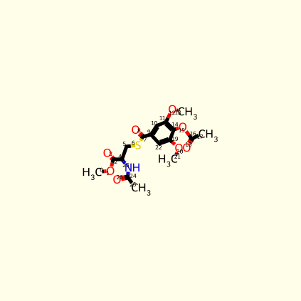 COC(=O)C(CSC(=O)c1cc(OC)c(OC(C)=O)c(OC)c1)NC(C)=O